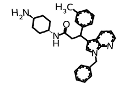 Cc1cccc(C(CC(=O)N[C@H]2CC[C@H](N)CC2)c2cn(Cc3ccccc3)c3ncccc23)c1